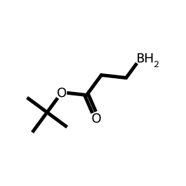 BCCC(=O)OC(C)(C)C